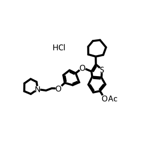 CC(=O)Oc1ccc2c(Oc3ccc(OCCN4CCCCC4)cc3)c(C3CCCCCC3)sc2c1.Cl